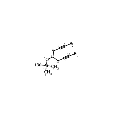 CC(C)(C)[Si](C)(C)OC(CC#CBr)CC#CBr